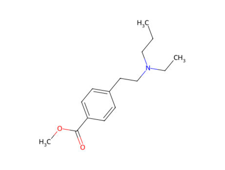 CCCN(CC)CCc1ccc(C(=O)OC)cc1